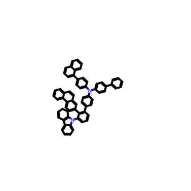 C1=Cc2c(n(-c3cccc(-c4ccc(N(c5ccc(-c6ccccc6)cc5)c5ccc(-c6cccc7ccccc67)cc5)cc4)c3-c3ccc4c(ccc5ccccc54)c3)c3ccccc23)CC1